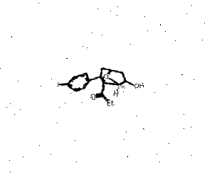 CCC(=O)C1=C(c2ccc(I)cc2)CC2CC(O)[C@@H]1O2